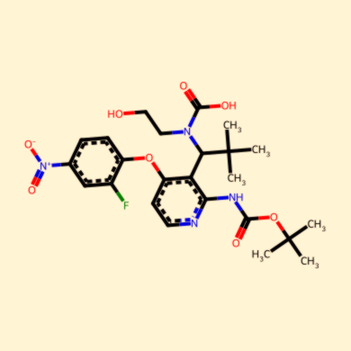 CC(C)(C)OC(=O)Nc1nccc(Oc2ccc([N+](=O)[O-])cc2F)c1C(N(CCO)C(=O)O)C(C)(C)C